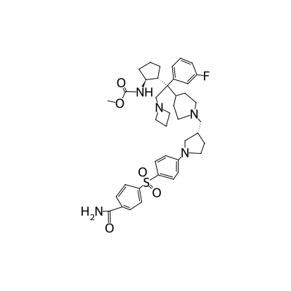 COC(=O)N[C@H]1CCC[C@@H]1C(CN1CCC1)(c1cccc(F)c1)C1CCN(C[C@@H]2CCN(c3ccc(S(=O)(=O)c4ccc(C(N)=O)cc4)cc3)C2)CC1